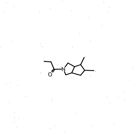 CCC(=O)N1CC2CC(C)C(C)C2C1